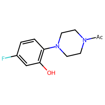 CC(=O)N1CCN(c2ccc(F)cc2O)CC1